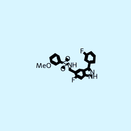 COc1cccc(S(=O)(=O)NCc2cc3c(-c4cccc(F)c4)n[nH]c3cc2F)c1